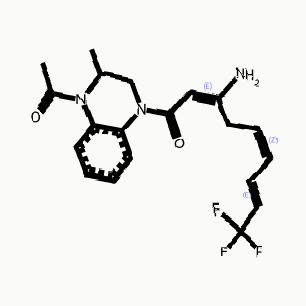 CC(=O)N1c2ccccc2N(C(=O)/C=C(/N)C/C=C\C=C\C(F)(F)F)CC1C